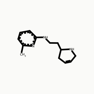 Cc1cccc(NCCC2CC=CCN2)n1